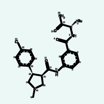 CCCC[C@H](NC(=O)c1cccc(NC(=O)[C@H]2CN(C)C[C@@H]2c2ccc(Cl)cc2)c1)C(N)=O